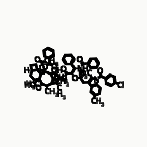 CC(=O)O[C@@]12CC[C@@H]1C[C@H](O)[C@@]1(C)C(=O)[C@H](C)C3=C(C)[C@@H](OC(=O)[C@H](OC(=O)Cc4c(C)n(C(=O)c5ccc(Cl)cc5)c5ccc(C)cc45)[C@@H](NC(=O)c4ccccc4)c4ccccc4)C[C@@](O)([C@@H](OC(=O)c4ccccc4)[C@H]21)C3(C)C